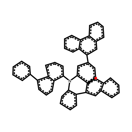 c1ccc(-c2cccc3c(N(c4cccc(-c5cc6ccccc6c6ccccc56)c4)c4ccccc4-c4ccc5ccccc5c4)cccc23)cc1